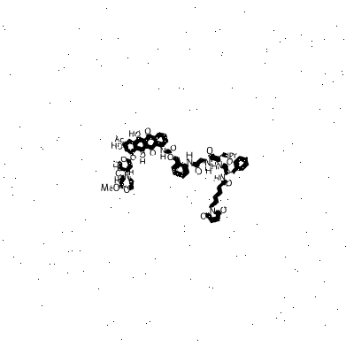 CO[C@H]1OCCN2[C@@H]1O[C@@H]1[C@H](C)O[C@@H](O[C@H]3C[C@](O)(C(C)=O)Cc4c(O)c5c(c(O)c43)C(=O)c3c(NC(=O)OCc4ccccc4NC(=O)CNC(=O)[C@H](CC(C)C)NC(=O)[C@H](Cc4ccccc4)NC(=O)CCCCCN4C(=O)C=CC4=O)cccc3C5=O)C[C@@H]12